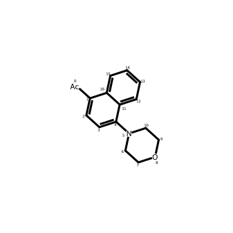 CC(=O)c1ccc(N2CCOCC2)c2ccccc12